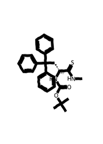 CNC(=S)[C@@H](CC(c1ccccc1)(c1ccccc1)c1ccccc1)NC(=O)OC(C)(C)C